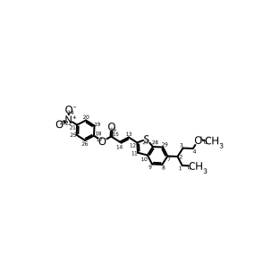 CCC(CCOC)c1ccc2cc(/C=C/C(=O)Oc3ccc([N+](=O)[O-])cc3)sc2c1